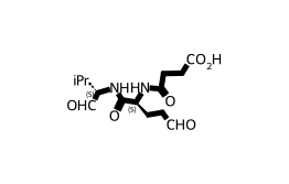 CC(C)[C@@H](C=O)NC(=O)[C@H](CCC=O)NC(=O)CCC(=O)O